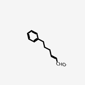 O=[C]/C=C/CCCc1ccccc1